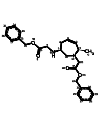 C[C@H]1C=CC[C@H](NCC(=O)OCc2ccccc2)CN1CC(=O)OCc1ccccc1